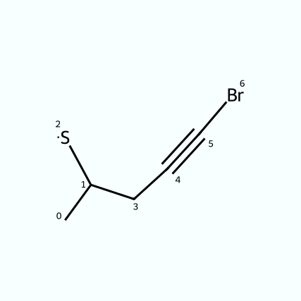 CC([S])CC#CBr